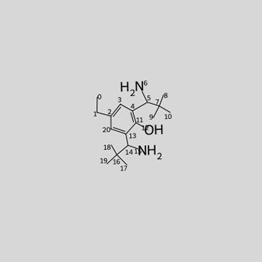 CCc1cc(C(N)C(C)(C)C)c(O)c(C(N)C(C)(C)C)c1